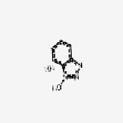 On1nnc2ccccc21.[HH]